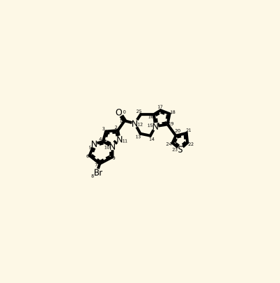 O=C(c1cc2ncc(Br)cn2n1)N1CCn2c(ccc2-c2ccsc2)C1